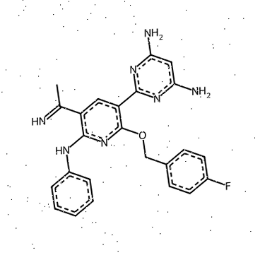 CC(=N)c1cc(-c2nc(N)cc(N)n2)c(OCc2ccc(F)cc2)nc1Nc1ccccc1